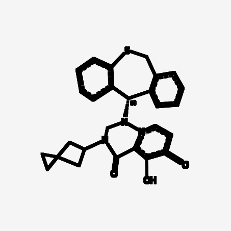 O=C1c2c(O)c(=O)ccn2N([C@H]2c3ccccc3CSc3ccccc32)CN1C1CC2(CC2)C1